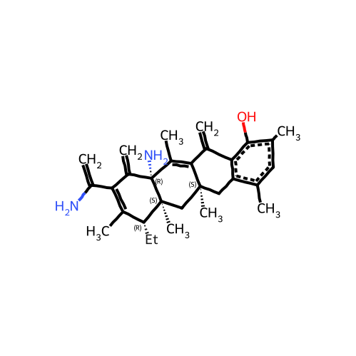 C=C(N)C1=C(C)[C@@H](CC)[C@]2(C)C[C@]3(C)Cc4c(C)cc(C)c(O)c4C(=C)C3=C(C)[C@]2(N)C1=C